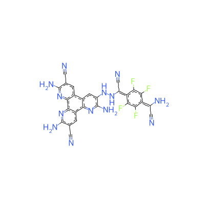 N#CC(N)=c1c(F)c(F)c(=C(C#N)NNc2cc3c4cc(C#N)c(N)nc4c4nc(N)c(C#N)cc4c3nc2N)c(F)c1F